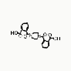 O=C(O)c1ccccc1C(=O)N1CCN(C(=O)c2ccccc2C(=O)O)CC1